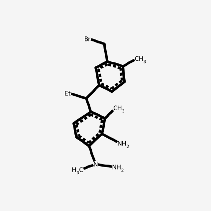 CCC(c1ccc(C)c(CBr)c1)c1ccc(N(C)N)c(N)c1C